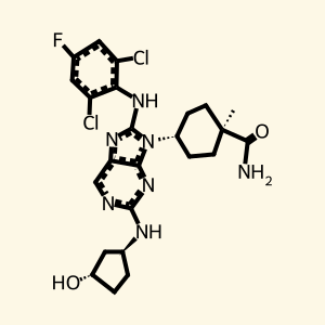 C[C@]1(C(N)=O)CC[C@H](n2c(Nc3c(Cl)cc(F)cc3Cl)nc3cnc(N[C@H]4CC[C@H](O)C4)nc32)CC1